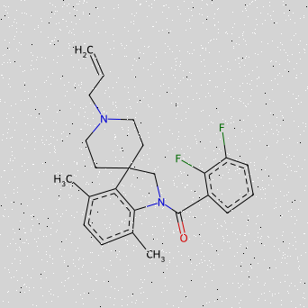 C=CCN1CCC2(CC1)CN(C(=O)c1cccc(F)c1F)c1c(C)ccc(C)c12